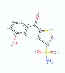 NS(=O)(=O)c1csc(C(=O)c2cccc(O)c2)c1